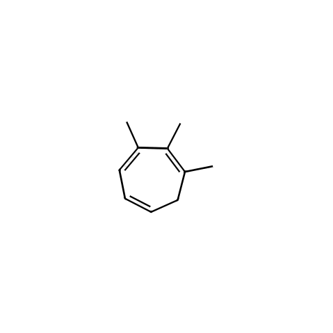 CC1=CC=CCC(C)=C1C